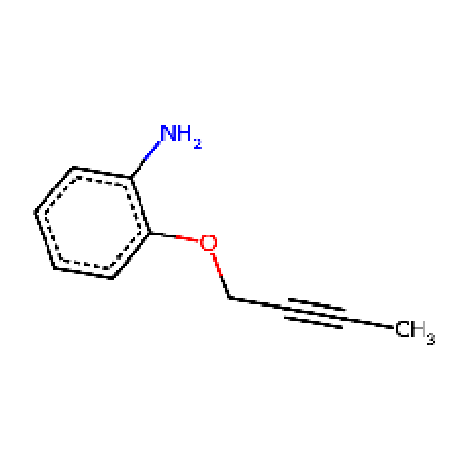 CC#CCOc1ccccc1N